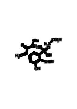 C=CC(=O)NC(C)(C)C.CC(=O)Nc1c(O)cccc1[As](=O)(O)O.CC(=O)O